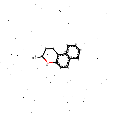 O=CC1CCc2c(ccc3ccccc23)O1